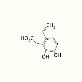 C=Cc1ccc(O)c(O)c1CC(=O)O